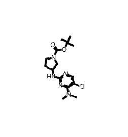 CN(C)c1nc(NC2CCN(C(=O)OC(C)(C)C)C2)ncc1Cl